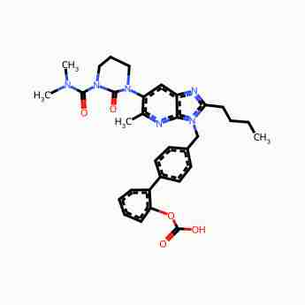 CCCCc1nc2cc(N3CCCN(C(=O)N(C)C)C3=O)c(C)nc2n1Cc1ccc(-c2ccccc2OC(=O)O)cc1